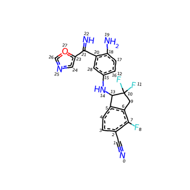 N#Cc1ccc2c(c1F)CC(F)(F)C2Nc1ccc(N)c(C(=N)c2cnco2)c1